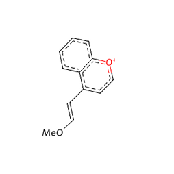 COC=Cc1cc[o+]c2ccccc12